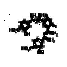 Cc1cc(C)c(/C(N)=C/N(N)c2ccc(C(=O)O)c(O)c2)nc1/C(N)=C/N(N)c1ccc(C(=O)O)c(O)c1